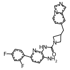 Nc1ccc(-c2ccc(F)cc2F)nc1NC(=O)N1CC(Cc2ccn3cncc3c2)C1